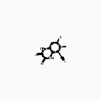 Cc1c(Cl)cc2[nH]c(=O)c(=O)[nH]c2c1C#N